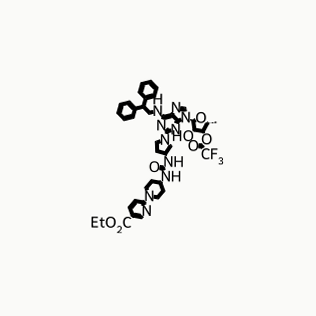 CCOC(=O)c1ccc(N2CCC(NC(=O)N[C@@H]3CCN(c4nc(NCC(c5ccccc5)c5ccccc5)c5ncn([C@@H]6O[C@H](C)[C@@H](OC(=O)C(F)(F)F)[C@H]6O)c5n4)C3)CC2)nc1